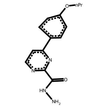 CCCOc1ccc(-c2ccnc(C(=O)NN)n2)cc1